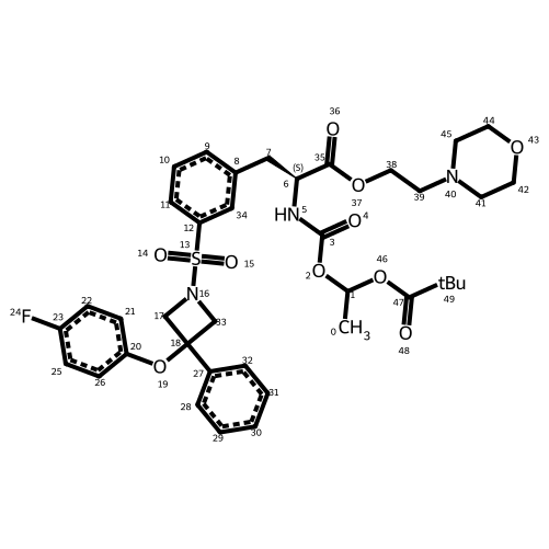 CC(OC(=O)N[C@@H](Cc1cccc(S(=O)(=O)N2CC(Oc3ccc(F)cc3)(c3ccccc3)C2)c1)C(=O)OCCN1CCOCC1)OC(=O)C(C)(C)C